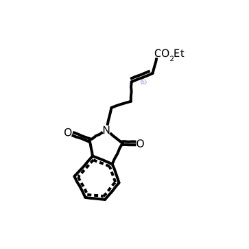 CCOC(=O)/C=C/CCN1C(=O)c2ccccc2C1=O